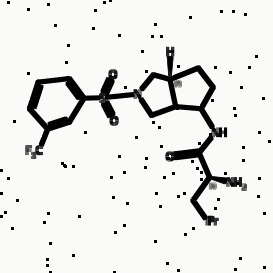 CC(C)C[C@H](N)C(=O)NC1CC[C@H]2CN(S(=O)(=O)c3cccc(C(F)(F)F)c3)CC12